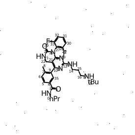 CCCNC(=O)c1ccc(C)c(-c2nc(NCCCNC(C)(C)C)nc3c2CNC(=O)N3c2c(F)cccc2F)c1